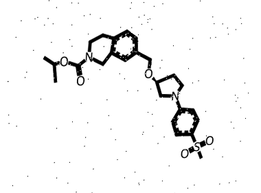 CC(C)OC(=O)N1CCc2ccc(CO[C@H]3CCN(c4ccc(S(C)(=O)=O)cc4)C3)cc2C1